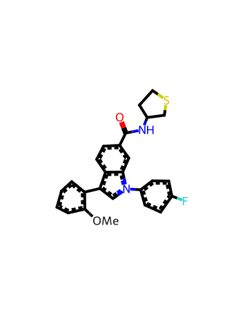 COc1ccccc1-c1cn(-c2ccc(F)cc2)c2cc(C(=O)NC3CCSC3)ccc12